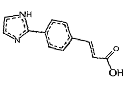 O=C(O)/C=C/c1ccc(-c2ncc[nH]2)cc1